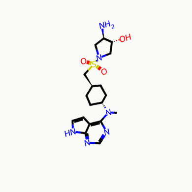 CN(c1ncnc2[nH]ccc12)[C@H]1CC[C@H](CS(=O)(=O)N2C[C@@H](N)[C@H](O)C2)CC1